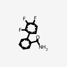 NC(=O)c1ccccc1-c1ccc(F)c(F)c1F